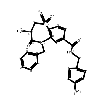 COc1ccc(CNC(=O)c2ccc3c(c2)N(Cc2ccccc2)C(=O)[C@@H](N)CS3(=O)=O)cc1